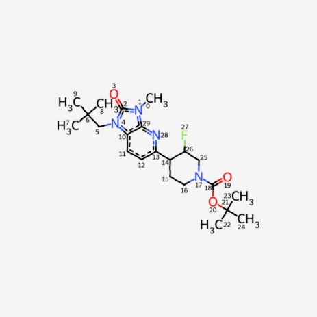 Cn1c(=O)n(CC(C)(C)C)c2ccc(C3CCN(C(=O)OC(C)(C)C)CC3F)nc21